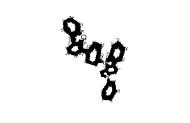 c1ccc(-n2ccc3c2ccc2c4ccccc4n(-c4ccc(-c5cccc6c5oc5ccccc56)cc4)c23)cc1